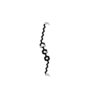 CCCCCCCCCCC1COC(c2ccc(-c3ccc(CCCCCCC)cc3)nc2)OC1